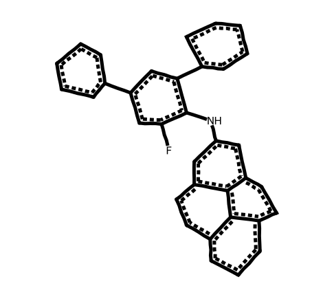 Fc1cc(-c2ccccc2)cc(-c2ccccc2)c1Nc1cc2ccc3cccc4ccc(c1)c2c34